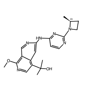 COc1ncc(C(C)(C)O)c2cc(Nc3ccnc(N4CC[C@@H]4C)n3)ncc12